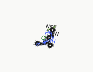 N#Cc1cnc2c(N[C@@H](c3ccccc3)c3cn(CCCN4CCCC4)nn3)cc(Cl)cc2c1Nc1ccc(F)c(C#N)c1F